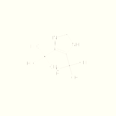 CC(C)(C)C1=C(C(C)(C)C)NCN1